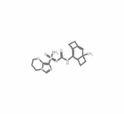 CC12C=C3CCC3=C(NC(=O)N=S(N)(=O)c3ncn4c3OCCC4)C1CC2